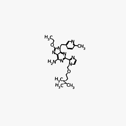 CCOc1nc2c(N)nc(-c3nccn3COCCS(C)(C)C)nc2n1Cc1ccc(C)nc1